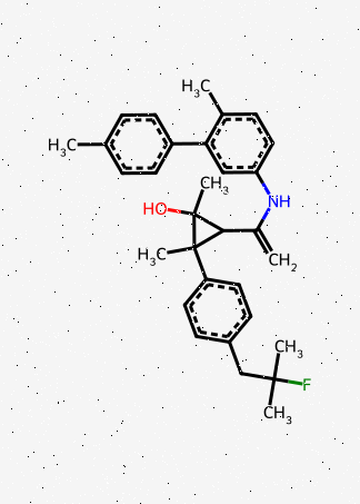 C=C(Nc1ccc(C)c(-c2ccc(C)cc2)c1)C1C(C)(O)C1(C)c1ccc(CC(C)(C)F)cc1